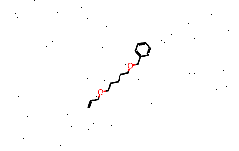 C=CCOCCCCCOCc1ccccc1